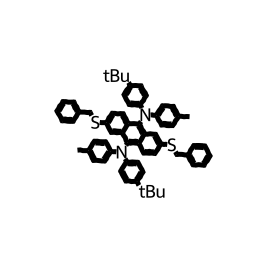 Cc1ccc(N(c2ccc(C(C)(C)C)cc2)c2c3ccc(SCc4ccccc4)cc3c(N(c3ccc(C)cc3)c3ccc(C(C)(C)C)cc3)c3ccc(SCc4ccccc4)cc23)cc1